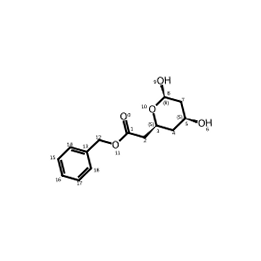 O=C(C[C@@H]1C[C@H](O)C[C@H](O)O1)OCc1ccccc1